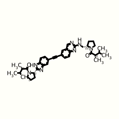 CC(C)[C@H](C)C(=O)N1CCC[C@H]1CNc1ncc2cc(C#Cc3ccc4[nH]c([C@@H]5CCCN5C(=O)[C@@H](C)C(C)C)nc4c3)ccc2n1